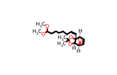 COC(CCCCC/C=C\[C@]12OC(C)(C)O[C@@H]1[C@@H]1C=C[C@H]2OO1)OC